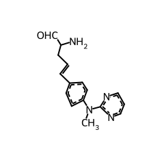 CN(c1ccc(/C=C/CC(N)C=O)cc1)c1ncccn1